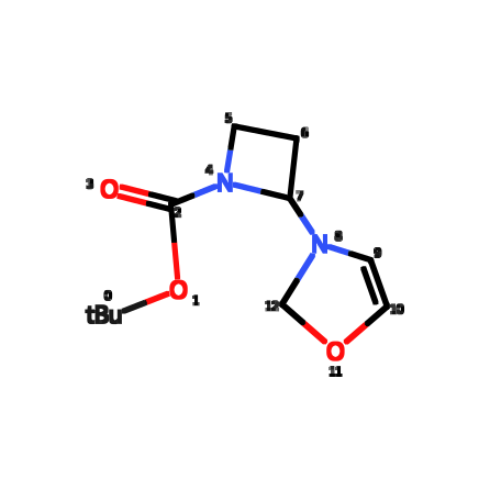 CC(C)(C)OC(=O)N1CCC1N1C=COC1